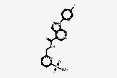 CNS(=O)(=O)c1cccc(CNC(=O)c2cncc3c2cnn3-c2ccc(F)cc2)n1